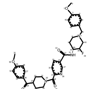 COc1ccc(CN2CC[C@@H](NC(=O)c3ccc(C(=O)N4CCC(C(=O)c5ccc(OC)cc5)CC4)nc3)C(F)C2)cc1